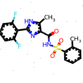 Cc1ccccc1S(=O)(=O)NC(=O)c1nc(-c2c(F)cccc2F)[nH]c1C